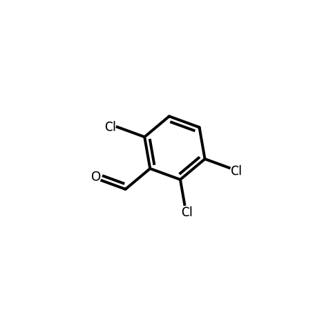 O=Cc1c(Cl)ccc(Cl)c1Cl